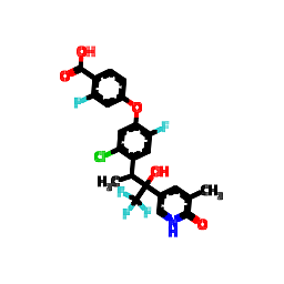 Cc1cc(C(O)(C(C)c2cc(F)c(Oc3ccc(C(=O)O)c(F)c3)cc2Cl)C(F)(F)F)c[nH]c1=O